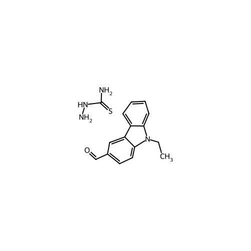 CCn1c2ccccc2c2cc(C=O)ccc21.NNC(N)=S